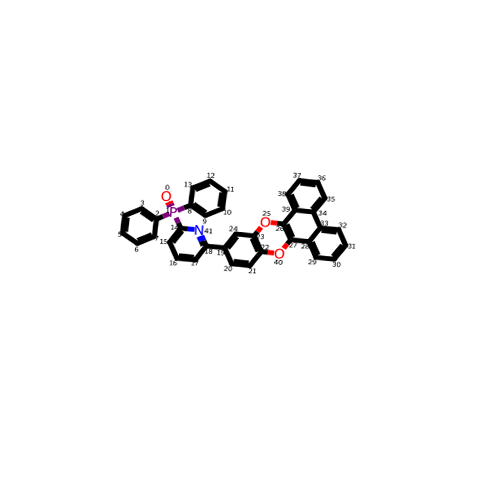 O=P(c1ccccc1)(c1ccccc1)c1cccc(-c2ccc3c(c2)Oc2c(c4ccccc4c4ccccc24)O3)n1